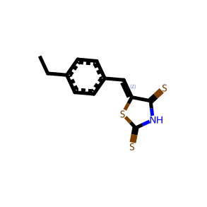 CCc1ccc(/C=C2\SC(=S)NC2=S)cc1